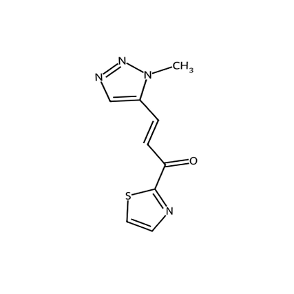 Cn1nncc1/C=C/C(=O)c1nccs1